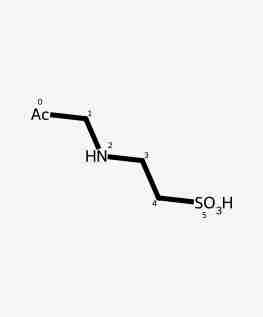 CC(=O)CNCCS(=O)(=O)O